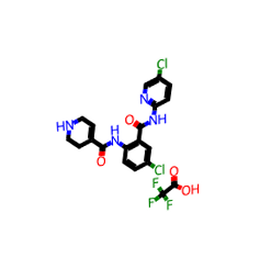 O=C(Nc1ccc(Cl)cc1C(=O)Nc1ccc(Cl)cn1)C1=CCNCC1.O=C(O)C(F)(F)F